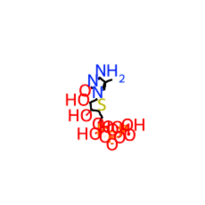 Cc1cn([C@@H]2SC(COP(=O)(O)OP(=O)(O)OP(=O)(O)O)[C@@H](O)[C@H]2O)c(=O)nc1N